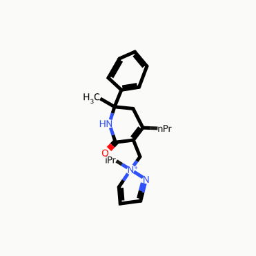 CCCC1=C(C[N+]2(C(C)C)C=CC=N2)C(=O)NC(C)(c2ccccc2)C1